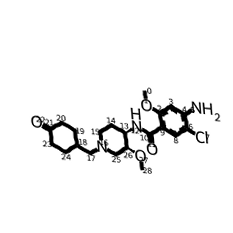 COc1cc(N)c(Cl)cc1C(=O)N[C@@H]1CCN(CC2CCC(=O)CC2)C[C@@H]1OC